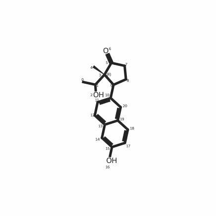 CC(O)[C@]1(C)C(=O)CCC1c1ccc2cc(O)ccc2c1